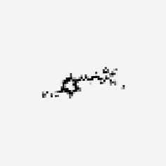 COc1ccc(OCCOS(N)(=O)=O)cc1